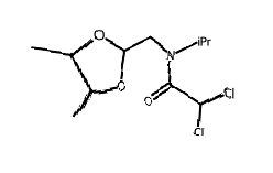 CC1OC(CN(C(=O)C(Cl)Cl)C(C)C)OC1C